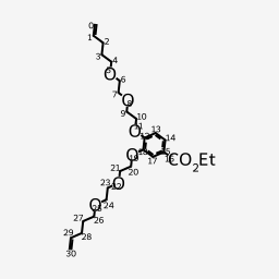 C=CCCCOCCOCCOc1ccc(C(=O)OCC)cc1OCCOCCOCCCC=C